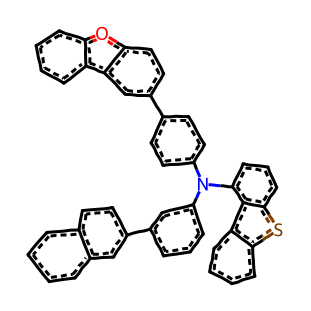 c1cc(-c2ccc3ccccc3c2)cc(N(c2ccc(-c3ccc4oc5ccccc5c4c3)cc2)c2cccc3sc4ccccc4c23)c1